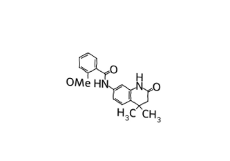 COc1ccccc1C(=O)Nc1ccc2c(c1)NC(=O)CC2(C)C